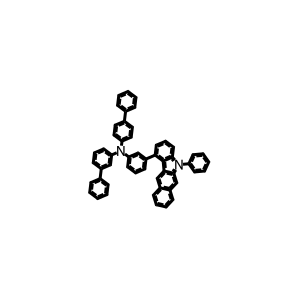 c1ccc(-c2ccc(N(c3cccc(-c4ccccc4)c3)c3cccc(-c4cccc5c4c4cc6ccccc6cc4n5-c4ccccc4)c3)cc2)cc1